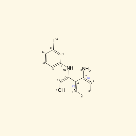 C/N=C(N)\C(=N/C)C(=NO)Nc1cccc(I)c1